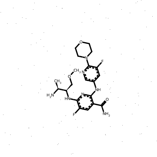 COC[C@@H](Nc1nc(Nc2cnc(N3CCOCC3)c(F)c2)c(C(N)=O)cc1F)[C@H](C)N